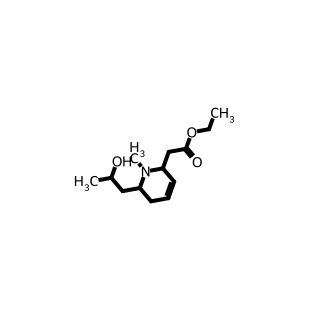 CCOC(=O)CC1C=CCC(CC(C)O)N1C